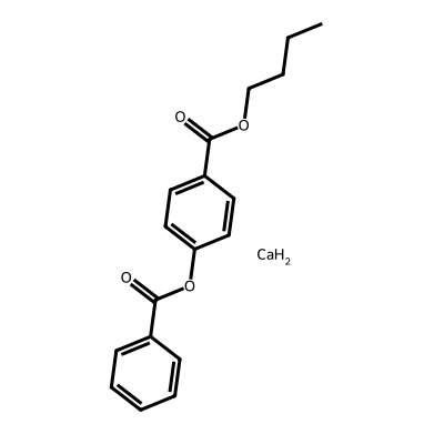 CCCCOC(=O)c1ccc(OC(=O)c2ccccc2)cc1.[CaH2]